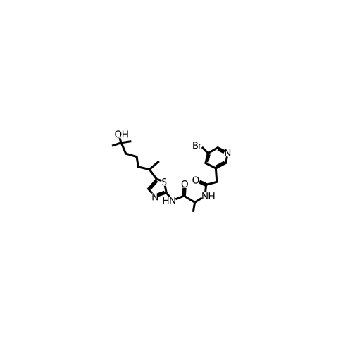 CC(NC(=O)Cc1cncc(Br)c1)C(=O)Nc1ncc(C(C)CCCC(C)(C)O)s1